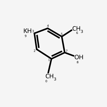 Cc1cccc(C)c1O.[KH]